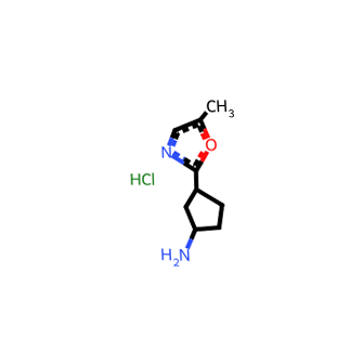 Cc1cnc(C2CCC(N)C2)o1.Cl